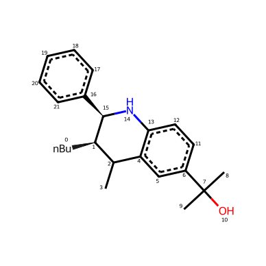 CCCC[C@@H]1C(C)c2cc(C(C)(C)O)ccc2N[C@@H]1c1ccccc1